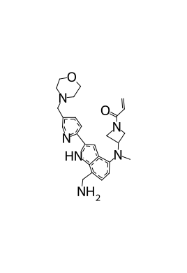 C=CC(=O)N1CC(N(C)c2ccc(CN)c3[nH]c(-c4ccc(CN5CCOCC5)cn4)cc23)C1